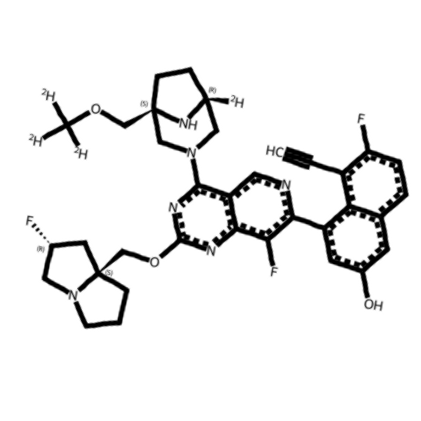 [2H]C([2H])([2H])OC[C@]12CC[C@]([2H])(CN(c3nc(OC[C@@]45CCCN4C[C@H](F)C5)nc4c(F)c(-c5cc(O)cc6ccc(F)c(C#C)c56)ncc34)C1)N2